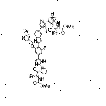 COC(=O)N[C@H](C(=O)N1CCC[C@H]1c1ncc(-c2cc(F)c3c(c2)OC(c2cnc(C(C)C)s2)n2c-3cc3cc(-c4cnc([C@@H]5C[C@H]6C[C@H]6N5C(=O)[C@@H](NC(=O)OC)C(C)C)[nH]4)ccc32)[nH]1)C(C)C